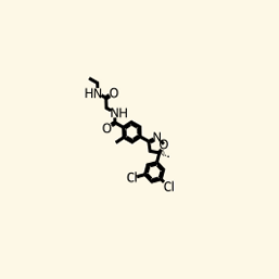 CCNC(=O)CNC(=O)c1ccc(C2=NO[C@@](C)(c3cc(Cl)cc(Cl)c3)C2)cc1C